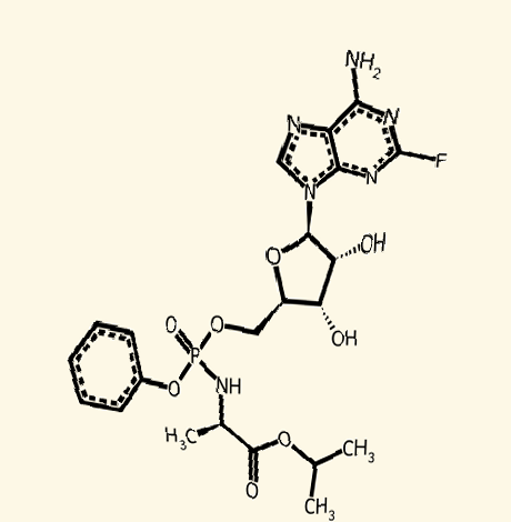 CC(C)OC(=O)[C@@H](C)NP(=O)(OC[C@H]1O[C@@H](n2cnc3c(N)nc(F)nc32)[C@H](O)[C@@H]1O)Oc1ccccc1